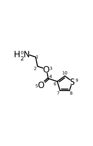 NCCOC(=O)c1ccsc1